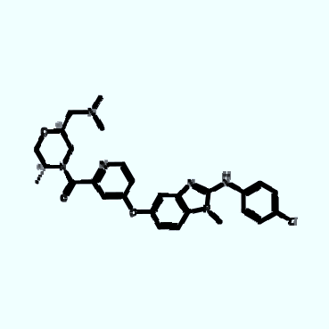 C[C@@H]1CO[C@@H](CN(C)C)CN1C(=O)c1cc(Oc2ccc3c(c2)nc(Nc2ccc(Cl)cc2)n3C)ccn1